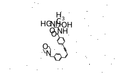 C[C@@H](O)[C@H](NC(=O)c1ccc(C#C/C=C\c2ccc(CN3CCOCC3)cc2)cc1)C(=O)NO